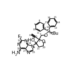 C#CC1(CO[Si](c2ccccc2)(c2ccccc2)C(C)(C)C)OCCC1(O)n1cnc2c(N)nc(F)nc21